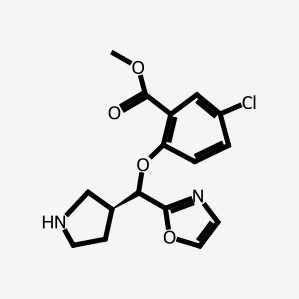 COC(=O)c1cc(Cl)ccc1OC(c1ncco1)[C@H]1CCNC1